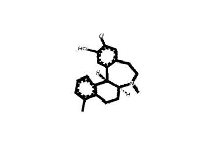 Cc1cccc2c1CC[C@H]1[C@H]2c2cc(O)c(Cl)cc2CCN1C